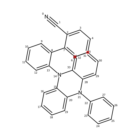 N#Cc1cccnc1-c1ccccc1N1c2ccccc2N(c2ccccc2)c2ccccc21